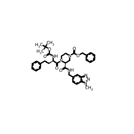 Cn1nnc2cc(CNC(=O)[C@@H]3CN(C(=O)OCc4ccccc4)CCN3C(=O)[C@@H](CCc3ccccc3)NC(=O)OC(C)(C)C)ccc21